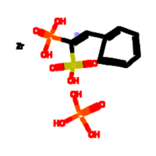 O=P(O)(O)/C(=C/c1ccccc1)S(=O)(=O)O.O=P(O)(O)O.[Zr]